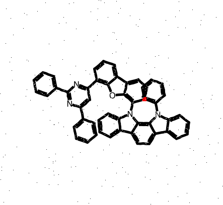 c1ccc(-c2cc(-c3cccc4c3oc3c(-n5c6ccccc6c6ccc7c8ccccc8n(-c8ccccc8)c7c65)cccc34)nc(-c3ccccc3)n2)cc1